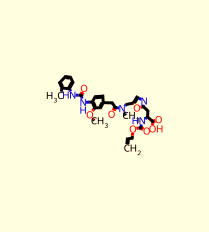 C=CCOC(=O)NC(Cc1ncc(CN(C)C(=O)Cc2ccc(NC(=O)Nc3ccccc3C)c(OC)c2)o1)C(=O)O